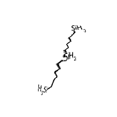 [SiH3]CCCCCC[SiH2]CCCCCC[SiH3]